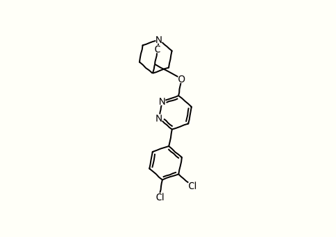 Clc1ccc(-c2ccc(OC3CN4CCC3CC4)nn2)cc1Cl